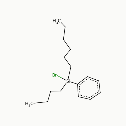 CCCCCC[Si](Br)(CCCC)c1ccccc1